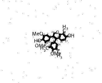 COc1cc(C2=C(c3cc(C)c(OC)c(C)c3)c3ccc(O)c(C)c3OC2)cc(OC)c1O